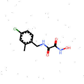 Cc1cc(Cl)ccc1CNC(=O)C(=O)NO